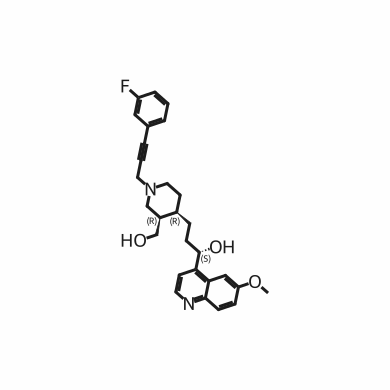 COc1ccc2nccc([C@@H](O)CC[C@@H]3CCN(CC#Cc4cccc(F)c4)C[C@@H]3CO)c2c1